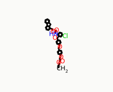 C=CCOC(=O)COc1ccc(COc2ccc(C(=O)c3cc(Cl)ccc3NC(=O)OCc3cccc4c3Cc3ccccc3-4)cc2)cc1